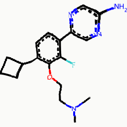 CN(C)CCOc1c(C2CCC2)ccc(-c2cnc(N)cn2)c1F